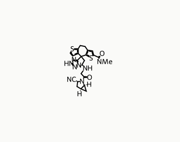 CNC(=O)c1cc2c(s1)C(C[C@H](C)NCC(=O)N1[C@H](C#N)C[C@@H]3C[C@@H]31)(c1nn[nH]n1)c1ccsc1CC2